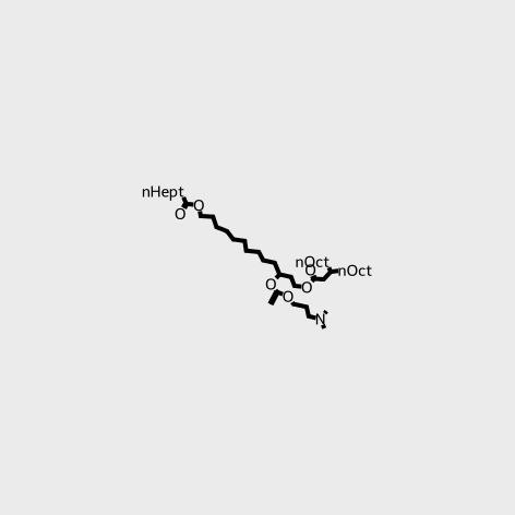 C=C(OCCCN(C)C)OC(CCCCCCCCCCOC(=O)CCCCCCC)CCOC(=O)CC(CCCCCCCC)CCCCCCCC